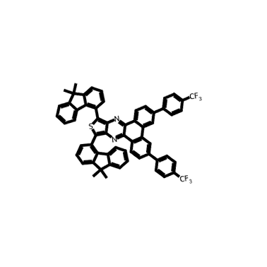 CC1(C)c2ccccc2-c2c(-c3sc(-c4cccc5c4-c4ccccc4C5(C)C)c4nc5c6ccc(-c7ccc(C(F)(F)F)cc7)cc6c6cc(-c7ccc(C(F)(F)F)cc7)ccc6c5nc34)cccc21